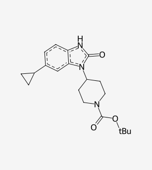 CC(C)(C)OC(=O)N1CCC(n2c(=O)[nH]c3ccc(C4CC4)cc32)CC1